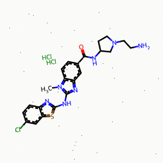 Cl.Cl.Cn1c(Nc2nc3ccc(Cl)cc3s2)nc2cc(C(=O)NC3CCN(CCN)C3)ccc21